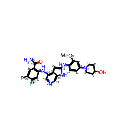 COc1cc(N2CCC(O)CC2)ccc1Nc1cc2c(Nc3cc(F)c(F)cc3C(N)=O)cncc2[nH]1